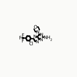 Nc1nc(N2CCOCC2)c2nc(-c3ccc(C(F)(F)F)cc3Cl)cnc2n1